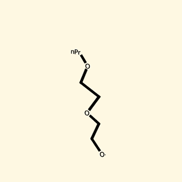 CCCOCCOCC[O]